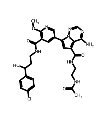 COc1ncc(-c2cc(C(=O)NCCNC(C)=O)c3c(N)ncnn23)cc1C(=O)NCCC(O)c1ccc(Cl)cc1